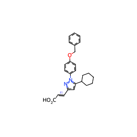 O=C(O)/C=C/c1cc(C2CCCCC2)n(-c2ccc(OCc3ccccc3)cc2)n1